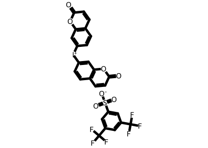 O=S(=O)([O-])c1cc(C(F)(F)F)cc(C(F)(F)F)c1.O=c1ccc2ccc([I+]c3ccc4ccc(=O)oc4c3)cc2o1